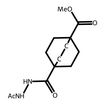 COC(=O)C12CCC(C(=O)NNC(C)=O)(CC1)CC2